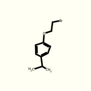 CC(C)c1ccc(OCCBr)cc1